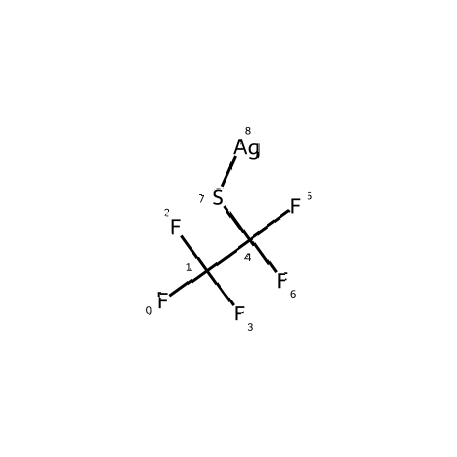 FC(F)(F)C(F)(F)[S][Ag]